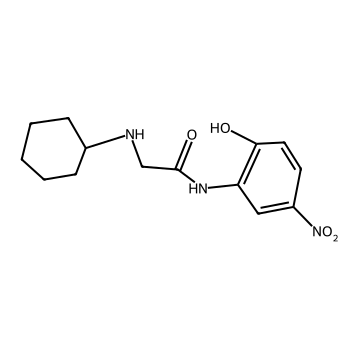 O=C(CNC1CCCCC1)Nc1cc([N+](=O)[O-])ccc1O